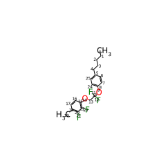 CCCCCc1ccc(OC(F)(F)COc2ccc(C)c(F)c2F)cc1